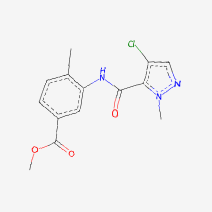 COC(=O)c1ccc(C)c(NC(=O)c2c(Cl)cnn2C)c1